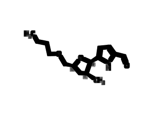 CCCCOC[C@@H]1C[C@H](C)[C@H](c2ccc(C=O)[nH]2)O1